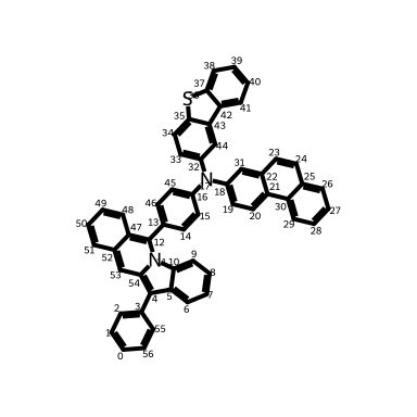 c1ccc(-c2c3ccccc3n3c(-c4ccc(N(c5ccc6c(ccc7ccccc76)c5)c5ccc6sc7ccccc7c6c5)cc4)c4ccccc4cc23)cc1